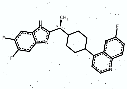 C[C@H](c1nc2cc(F)c(F)cc2[nH]1)C1CCC(c2ccnc3ccc(F)cc23)CC1